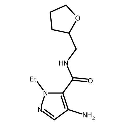 CCn1ncc(N)c1C(=O)NCC1CCCO1